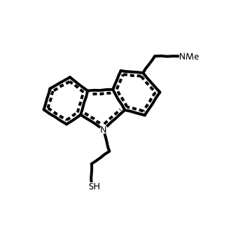 CNCc1ccc2c(c1)c1ccccc1n2CCS